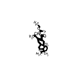 CCOC(=O)OC(=O)c1cc2c(cc1C(C)C)CCC1C(C)(C(C)=O)CCCC21C